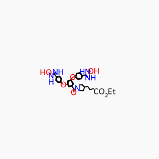 CCOC(=O)CCCC1CCN(C(=O)c2cc(Oc3ccc(C(=N)NO)cc3)cc(Oc3ccc(C(=N)NO)cc3)c2)CC1